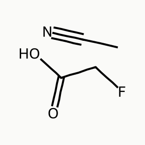 CC#N.O=C(O)CF